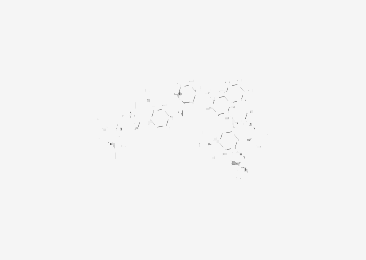 CCC(NC(=O)c1ccc(Nc2cc(Oc3ccc(N(C(N)=O)c4cc(C(C)(C)C)cc(NS(C)(=O)=O)c4OC)c4ccccc34)ccn2)cc1OC)N1CCNCC1C